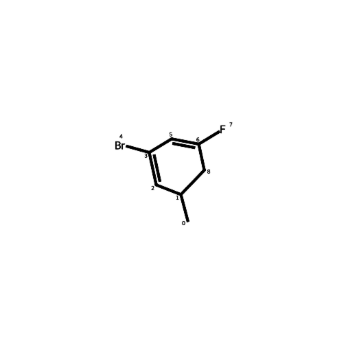 CC1C=C(Br)C=C(F)C1